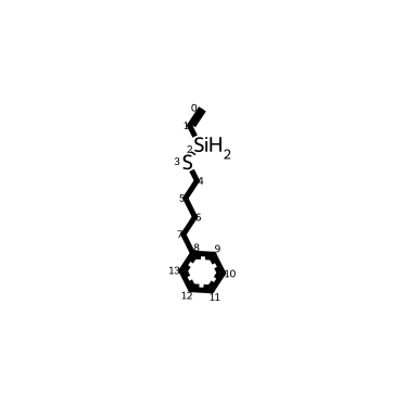 C=C[SiH2]SCCCCc1ccccc1